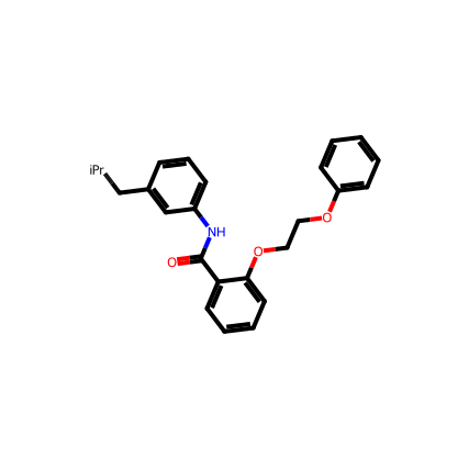 CC(C)Cc1cccc(NC(=O)c2ccccc2OCCOc2ccccc2)c1